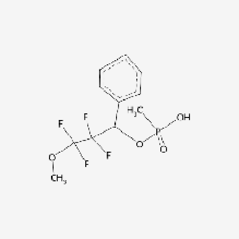 COC(F)(F)C(F)(F)C(OP(C)(=O)O)c1ccccc1